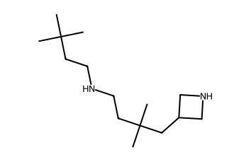 CC(C)(C)CCNCCC(C)(C)CC1CNC1